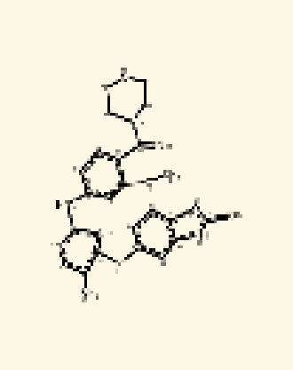 COc1cc(Nc2ncc(C)c(Nc3ccc4oc(=O)[nH]c4c3)n2)ccc1C(=O)N1CCOCC1